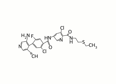 C#Cc1cncc(N)c1-c1cc(Cl)c(C(=O)Nc2cnc(C(=O)NCCSCC)c(Cl)c2)cc1F